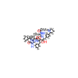 COC(=O)NC(C(=O)NC(Cc1ccc(-c2ccccn2)cc1)C(O)CC(Cc1ccccc1)NC(=O)C(C1CNC(=O)N1Cc1ccccc1)C(C)(C)C)C(C)(C)C